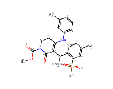 CNC(C1=C(Nc2cccc(C(F)(F)F)c2)CCN(C(=O)OC(C)(C)C)C1=O)c1ccc(C#N)cc1S(C)(=O)=O